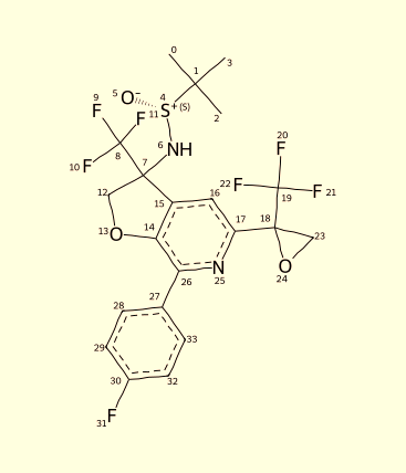 CC(C)(C)[S@@+]([O-])NC1(C(F)(F)F)COc2c1cc(C1(C(F)(F)F)CO1)nc2-c1ccc(F)cc1